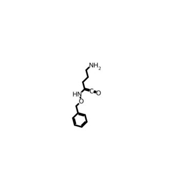 NCCCC(=C=O)NOCc1ccccc1